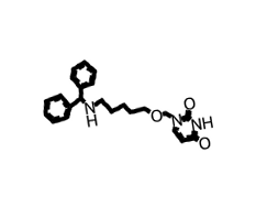 O=c1ccn(COCCCCCNC(c2ccccc2)c2ccccc2)c(=O)[nH]1